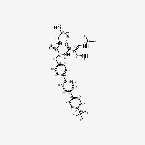 CC(C)N/C=C(\C=N)C(=O)NC(Cc1ccc(-c2ncc(-c3ccc(C(C)(C)C)cc3)cn2)cc1)C(=O)NCC(=O)O